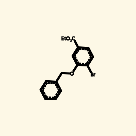 CCOC(=O)c1ccc(Br)c(OCc2ccccc2)c1